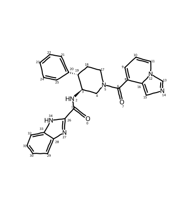 O=C(N[C@@H]1CN(C(=O)c2cccn3cncc23)CC[C@H]1c1ccccc1)c1nc2ccccc2[nH]1